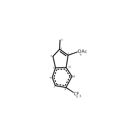 CC(=O)OC1=C(C)Cc2ccc(C(F)(F)F)cc21